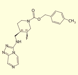 Cc1ccc(COC(=O)N2CC[C@H](CNc3nnc4cnccn34)[C@H](F)C2)cc1